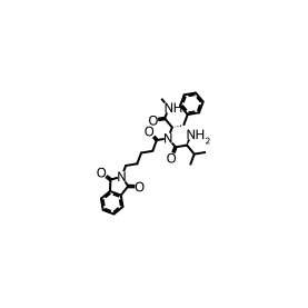 CNC(=O)[C@H](Cc1ccccc1)N(C(=O)CCCCN1C(=O)c2ccccc2C1=O)C(=O)[C@@H](N)C(C)C